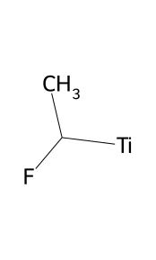 C[CH](F)[Ti]